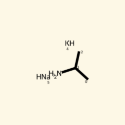 CC(C)N.[KH].[NaH]